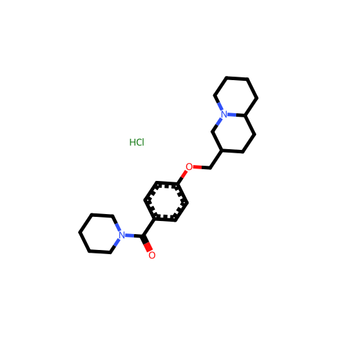 Cl.O=C(c1ccc(OCC2CCC3CCCCN3C2)cc1)N1CCCCC1